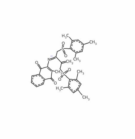 C=C(CS(=O)(=O)c1c(C)cc(C)cc1C)/C(CS(=O)(=O)c1c(C)cc(C)cc1C)=N\C1=C(C)C(=O)c2ccccc2C1=O